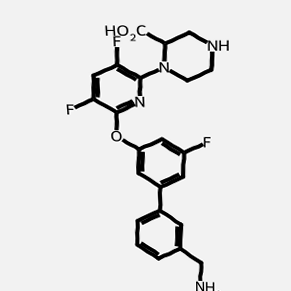 NCc1cccc(-c2cc(F)cc(Oc3nc(N4CCNCC4C(=O)O)c(F)cc3F)c2)c1